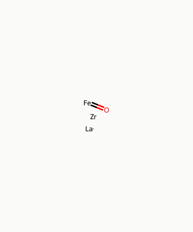 [La].[O]=[Fe].[Zr]